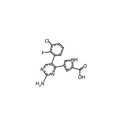 Nc1ncc(-c2cccc(Cl)c2F)c(-c2c[nH]c(C(=O)O)c2)n1